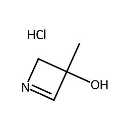 CC1(O)C=NC1.Cl